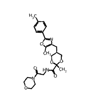 Cc1ccc(-c2nc(CC3COC(C)(C(=O)NCC(=O)N4CCOCC4)OC3)c(C)o2)cc1